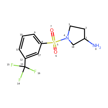 NC1CCN(S(=O)(=O)c2cccc(C(F)(F)F)c2)C1